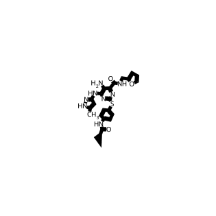 Cc1cc(Nc2nc(Sc3ccc(NC(=O)C4CC4)cc3)nc(C(=O)NCc3ccco3)c2N)n[nH]1